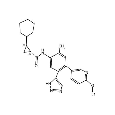 CCOc1ccc(-c2cc(C)c(NC(=O)[C@@H]3C[C@H]3C3CCCCC3)cc2-c2nnn[nH]2)cn1